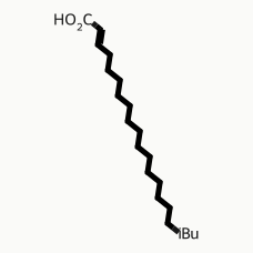 CCC(C)CCCCCCCCCCCCCCC=CC(=O)O